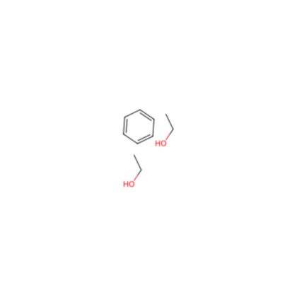 CCO.CCO.c1ccccc1